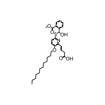 CCCCCCCCCCCCOc1ccc(SC(O)c2ccccc2C(=O)OC)nc1C=CCC(=O)O